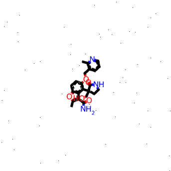 Cc1ncccc1COc1ccc2oc(C)c(C(N)=O)c2c1C1(CO)CCNC1=O